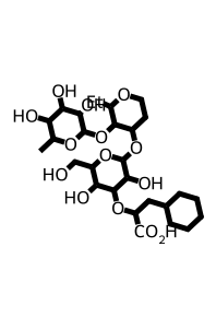 CCC1OCCC(OC2OC(CO)C(O)C(OC(CC3CCCCC3)C(=O)O)C2O)C1OC1OC(C)C(O)C(O)C1O